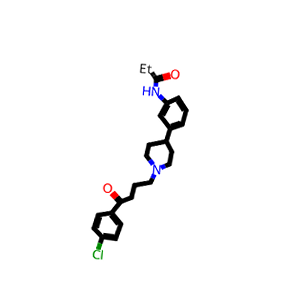 CCC(=O)Nc1cccc(C2CCN(CCCC(=O)c3ccc(Cl)cc3)CC2)c1